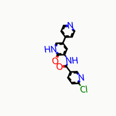 O=C(Nc1cc(-c2ccncc2)c[nH]c1=O)c1ccc(Cl)nc1